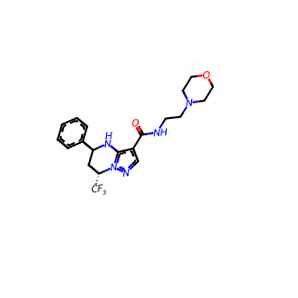 O=C(NCCN1CCOCC1)c1cnn2c1NC(c1ccccc1)C[C@H]2C(F)(F)F